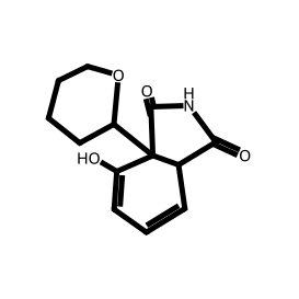 O=C1NC(=O)C2(C3CCCCO3)C(O)=CC=CC12